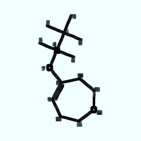 CC(C)(C)[Si](C)(C)OC1=CCCOCC1